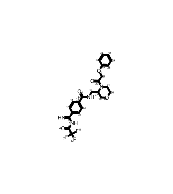 N=C(NC(=O)C(F)(F)F)c1ccc(C(=O)NCC2COCCN2C(=O)COc2ccccc2)cc1